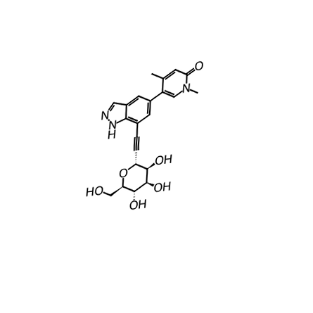 Cc1cc(=O)n(C)cc1-c1cc(C#C[C@H]2O[C@H](CO)[C@@H](O)[C@H](O)[C@@H]2O)c2[nH]ncc2c1